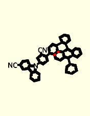 N#Cc1ccc2c(c1)c1ccccc1n2-c1ccc(-c2ccc(-c3ccccc3-c3c4ccccc4c(-c4ccccc4)c4ccccc34)cc2)c(C#N)c1